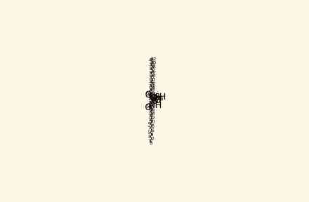 CCCCCCCCCCCCCCCCCC(=O)NCC(CNC(=O)CCCCCCCCCCCCCCCCC)OP(=O)(S)OC